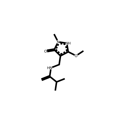 C=C(NCc1c(OC)[nH]n(C)c1=O)C(C)C